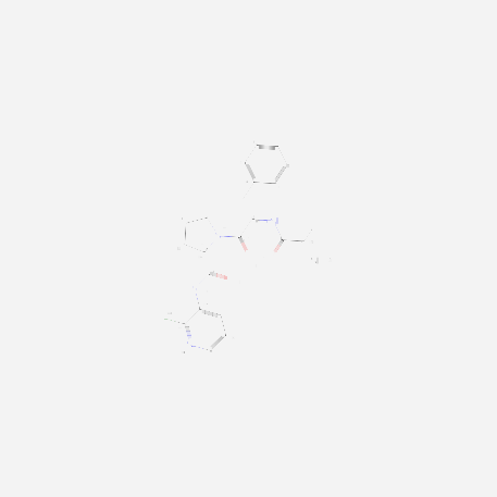 CC(=O)N[C@@H](C)C(=O)N[C@@H](Cc1ccccc1)C(=O)N1CCC[C@H]1C(=O)Nc1cccnc1Cl